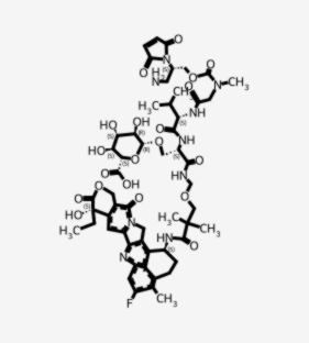 CC[C@@]1(O)C(=O)OCc2c1cc1n(c2=O)Cc2c-1nc1cc(F)c(C)c3c1c2[C@@H](NC(=O)C(C)(C)COCNC(=O)[C@H](CO[C@@H]1O[C@H](C(=O)O)[C@@H](O)[C@H](O)[C@H]1O)NC(=O)[C@@H](NC(=O)CN(C)C(=O)OC[C@H](CN)N1C(=O)C=CC1=O)C(C)C)CC3